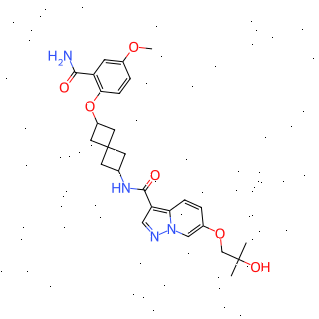 COc1ccc(OC2CC3(CC(NC(=O)c4cnn5cc(OCC(C)(C)O)ccc45)C3)C2)c(C(N)=O)c1